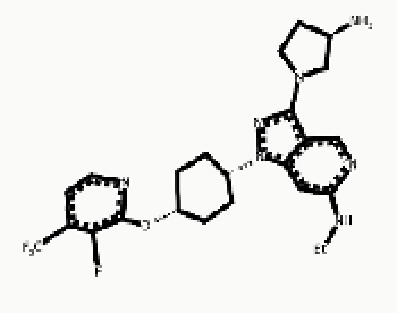 CCNc1cc2c(cn1)c(N1CC[C@@H](N)C1)nn2[C@H]1CC[C@@H](Oc2nccc(C(F)(F)F)c2F)CC1